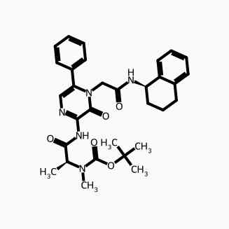 C[C@@H](C(=O)Nc1ncc(-c2ccccc2)n(CC(=O)N[C@@H]2CCCc3ccccc32)c1=O)N(C)C(=O)OC(C)(C)C